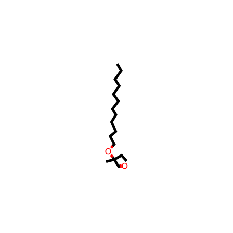 CCCCCCCCCCCCOC(C)(C=O)CC